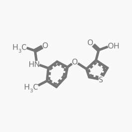 CC(=O)Nc1cc(Oc2cscc2C(=O)O)ccc1C